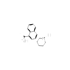 CN1CCCCC1.NC(=O)c1cccc2ccccc12